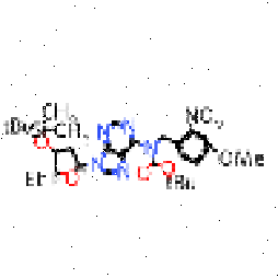 CC[C@H]1O[C@@H](n2cnc3c(N(Cc4ccc(OC)cc4[N+](=O)[O-])C(=O)OC(C)(C)C)ncnc32)CC1O[Si](C)(C)C(C)(C)C